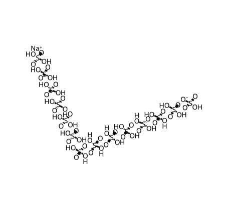 O=S(=O)(O)O.O=S(=O)(O)O.O=S(=O)(O)O.O=S(=O)(O)O.O=S(=O)(O)O.O=S(=O)(O)O.O=S(=O)(O)O.O=S(=O)(O)O.O=S(=O)(O)O.O=S(=O)(O)O.O=S(=O)(O)O.O=S(=O)(O)O.O=S(=O)(O)O.O=S(=O)([O-])O.[Na+]